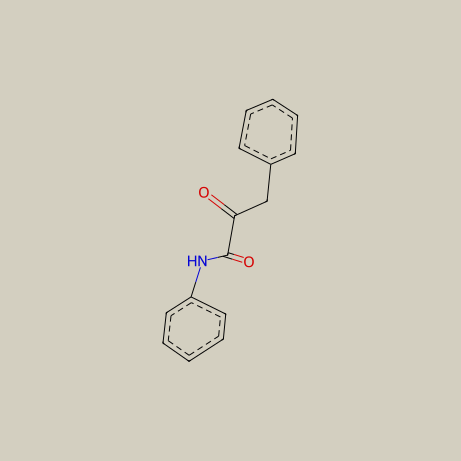 O=C(Cc1ccccc1)C(=O)Nc1ccccc1